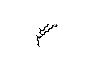 CCCC[C@@H](C)CN(CCCCCCO)C[C@@H](C)CCCC